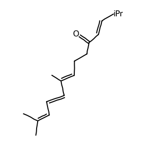 CC(C)=C/C=C/C(C)=C/CCC(=O)/C=C/C(C)C